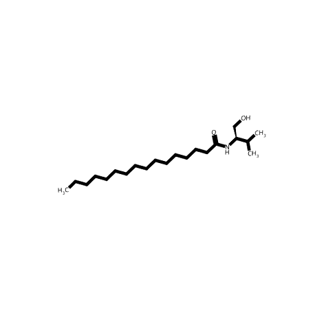 CCCCCCCCCCCCCCCC(=O)N[C@@H](CO)C(C)C